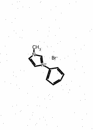 Cn1cc[n+](-c2ccccc2)c1.[Br-]